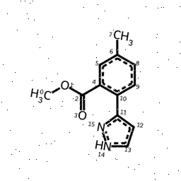 COC(=O)c1cc(C)ccc1-c1cc[nH]n1